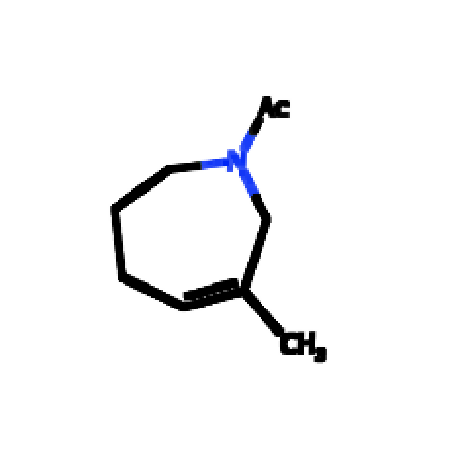 CC(=O)N1CCCC=C(C)C1